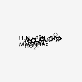 COc1c(C(N)=O)cc(C(C)(C)C)c(-c2c(C(=O)O)n(C)c3c(CN4CCN(C(=O)C5CCCN5C)CC4)cccc23)c1NC(C)=O